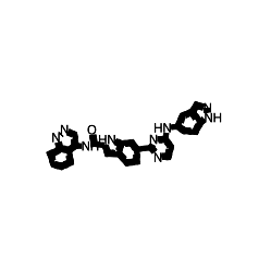 O=C(Nc1cnnc2ccccc12)c1cc2ccc(-c3nccc(Nc4ccc5[nH]ncc5c4)n3)cc2[nH]1